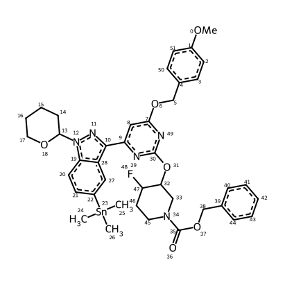 COc1ccc(COc2cc(-c3nn(C4CCCCO4)c4cc[c]([Sn]([CH3])([CH3])[CH3])cc34)nc(OC3CN(C(=O)OCc4ccccc4)CCC3F)n2)cc1